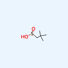 CC(C)(C)CS(=O)O